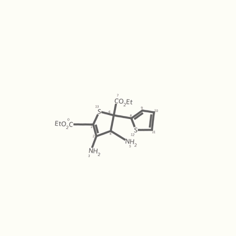 CCOC(=O)C1=C(N)C(N)C(C(=O)OCC)(c2cccs2)S1